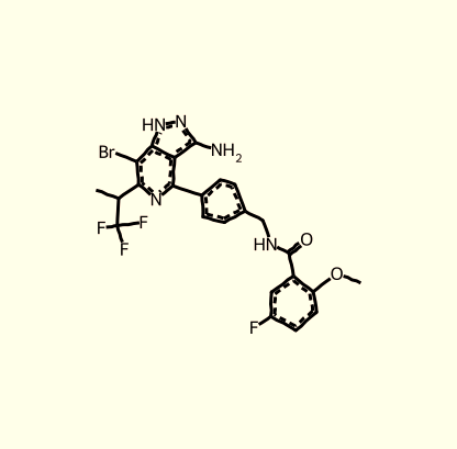 COc1ccc(F)cc1C(=O)NCc1ccc(-c2nc(C(C)C(F)(F)F)c(Br)c3[nH]nc(N)c23)cc1